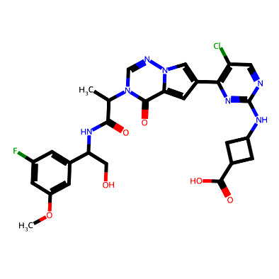 COc1cc(F)cc(C(CO)NC(=O)C(C)n2cnn3cc(-c4nc(NC5CC(C(=O)O)C5)ncc4Cl)cc3c2=O)c1